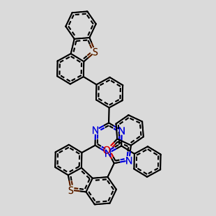 c1ccc(-c2nc(-c3cccc(-c4cccc5c4sc4ccccc45)c3)nc(-c3cccc4sc5cccc(-c6nc7ccccc7o6)c5c34)n2)cc1